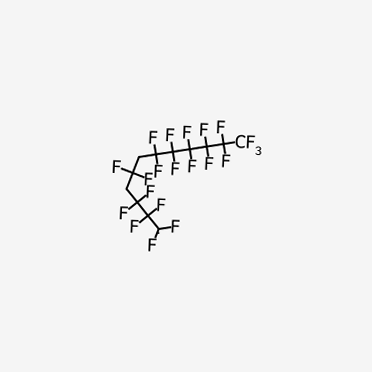 F[C](F)C(F)(F)C(F)(F)CC(F)(F)CC(F)(F)C(F)(F)C(F)(F)C(F)(F)C(F)(F)C(F)(F)F